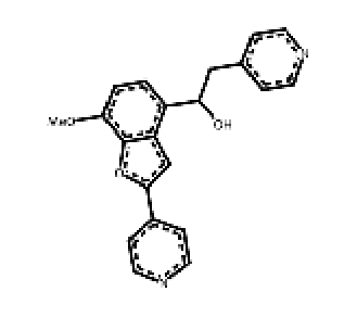 COc1ccc(C(O)Cc2ccncc2)c2cc(-c3ccncc3)oc12